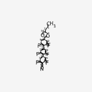 CCCC1COC(c2cc(F)c(-c3cc(F)c(-c4cc(F)c(C#N)c(F)c4)c(F)c3)c(F)c2)OC1